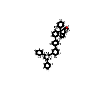 c1ccc(-c2cc(-c3ccccc3)nc(-c3cccc(-c4ccc(-c5ccc6c(c5)C5(c7ccccc7S6)c6ccccc6-c6ccccc65)cc4)c3)n2)cc1